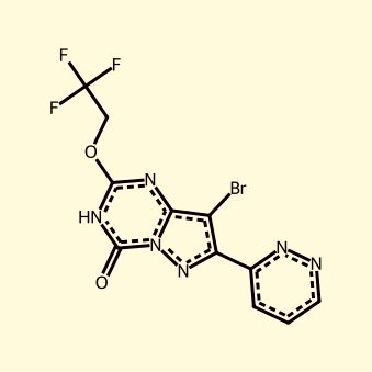 O=c1[nH]c(OCC(F)(F)F)nc2c(Br)c(-c3cccnn3)nn12